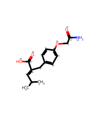 CC(C)/C=C(\Cc1ccc(OCC(N)=O)cc1)C(=O)O